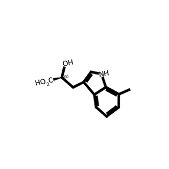 Cc1cccc2c(C[C@H](O)C(=O)O)c[nH]c12